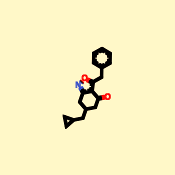 O=C1CC(CC2CC2)Cc2noc(Cc3ccccc3)c21